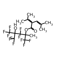 CC(C)=CC(C(=O)OC(C)(C(F)(F)F)C(F)(F)C(O)(C(F)(F)F)C(F)(F)F)=C(C)C